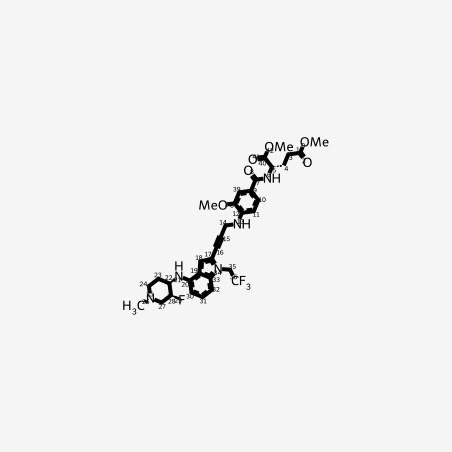 COC(=O)CC[C@H](NC(=O)c1ccc(NCC#Cc2cc3c(N[C@@H]4CCN(C)C[C@@H]4F)cccc3n2CC(F)(F)F)c(OC)c1)C(=O)OC